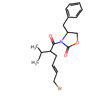 CC(C)C(CC=CCBr)C(=O)N1C(=O)OCC1Cc1ccccc1